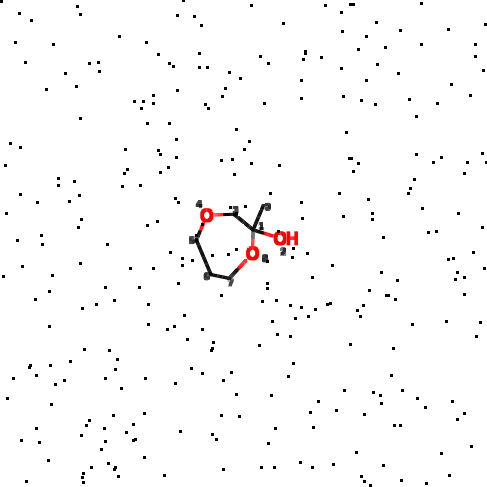 CC1(O)COCCCO1